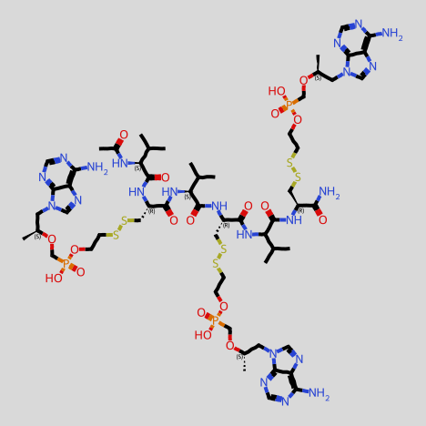 CC(=O)N[C@H](C(=O)N[C@@H](CSSCCOP(=O)(O)CO[C@@H](C)Cn1cnc2c(N)ncnc21)C(=O)N[C@H](C(=O)N[C@@H](CSSCCOP(=O)(O)CO[C@@H](C)Cn1cnc2c(N)ncnc21)C(=O)NC(C(=O)N[C@@H](CSSCCOP(=O)(O)CO[C@@H](C)Cn1cnc2c(N)ncnc21)C(N)=O)C(C)C)C(C)C)C(C)C